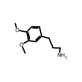 COc1ccc(CCCN)cc1OC